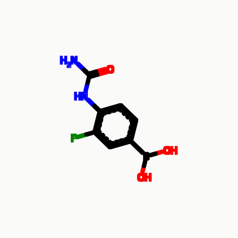 NC(=O)Nc1ccc(B(O)O)cc1F